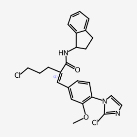 COc1cc(/C=C(/CCCCl)C(=O)NC2CCc3ccccc32)ccc1-n1ccnc1Cl